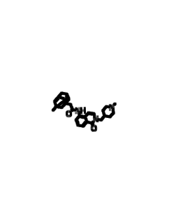 CN1CCC(Cn2ccc3c(NC(=O)CC45CC6=CC(C)(CC(C6)C4)C5)cccc3c2=O)CC1